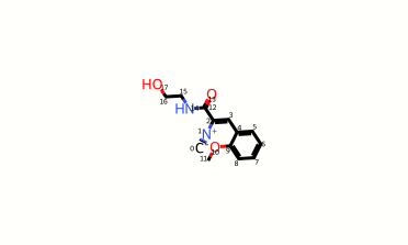 [C-]#[N+]/C(=C\c1ccccc1OC)C(=O)NCCO